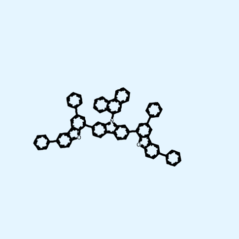 c1ccc(-c2ccc3oc4c(-c5ccc6c7ccc(-c8cc(-c9ccccc9)cc9c8oc8ccc(-c%10ccccc%10)cc89)cc7n(-c7cc8ccccc8c8ccccc78)c6c5)cc(-c5ccccc5)cc4c3c2)cc1